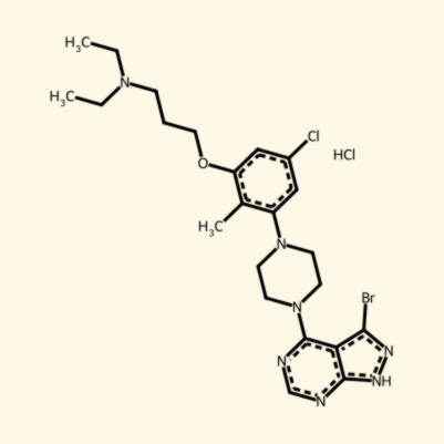 CCN(CC)CCCOc1cc(Cl)cc(N2CCN(c3ncnc4[nH]nc(Br)c34)CC2)c1C.Cl